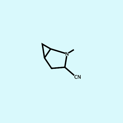 CN1C(C#N)CC2CC21